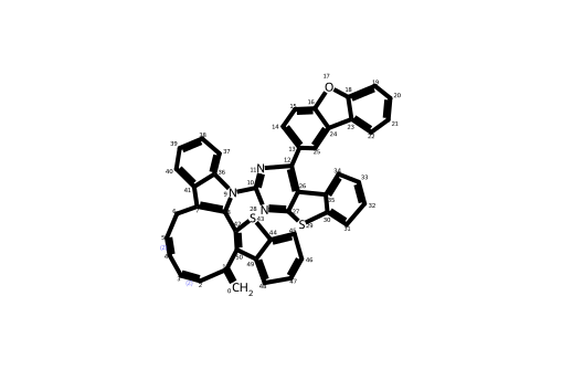 C=C1/C=C\C=C/Cc2c(n(-c3nc(-c4ccc5oc6ccccc6c5c4)c4c(n3)sc3ccccc34)c3ccccc23)-c2sc3ccccc3c21